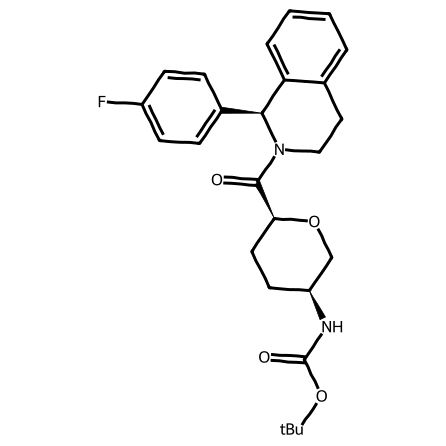 CC(C)(C)OC(=O)N[C@H]1CC[C@@H](C(=O)N2CCc3ccccc3[C@@H]2c2ccc(F)cc2)OC1